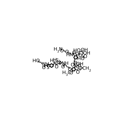 C=C1C[C@H]2C(O)N(C(=O)OCc3ccc(O[C@@H]4O[C@H](C(=O)O)[C@@H](O)[C@H](O)[C@H]4O)c(C(=O)NCCOCCON)c3)c3cc(OCCCC(=O)Nc4cc(C(=O)Nc5ccc6sc(C(=O)NCCCO)cc6c5)n(C)c4)c(OC)cc3C(=O)N2C1